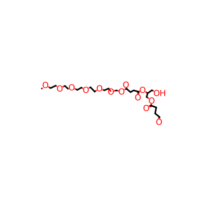 COCCOCCOCCOCCOCCOCOC(=O)CCC(=O)OC(CO)COC(=O)CCC=O